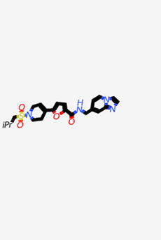 CC(C)CS(=O)(=O)N1CC=C(c2ccc(C(=O)NCc3ccn4ccnc4c3)o2)CC1